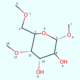 COCC1O[C@H](OC)C(O)[C@H](O)[C@@H]1OC